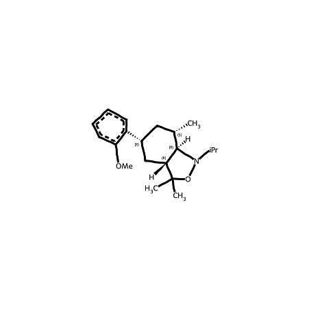 COc1ccccc1[C@H]1C[C@@H]2[C@@H]([C@@H](C)C1)N(C(C)C)OC2(C)C